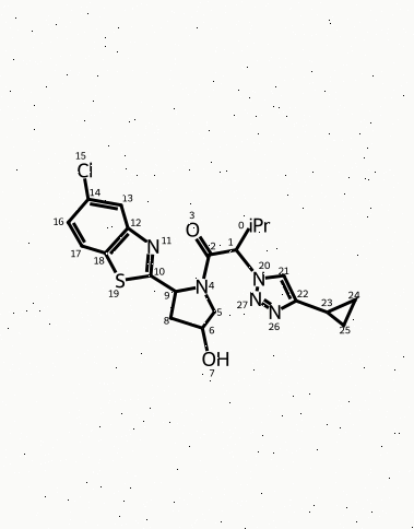 CC(C)C(C(=O)N1CC(O)CC1c1nc2cc(Cl)ccc2s1)n1cc(C2CC2)nn1